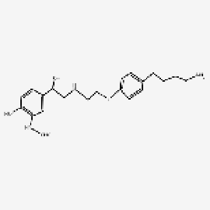 NCCCCc1ccc(OCCNCC(O)c2ccc(O)c(NC=O)c2)cc1